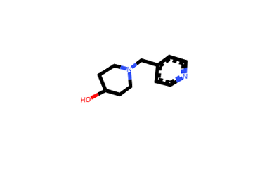 OC1CCN(Cc2ccncc2)CC1